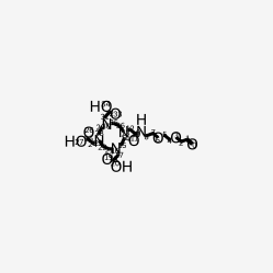 O=CCOCCOCCNC(=O)CN1CCN(CC(=O)O)CCN(CC(=O)O)CCN(CC(=O)O)CC1